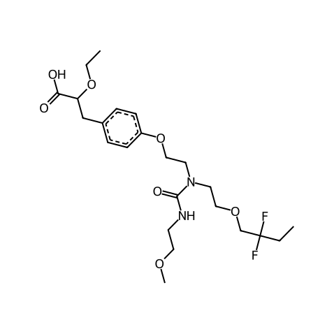 CCOC(Cc1ccc(OCCN(CCOCC(F)(F)CC)C(=O)NCCOC)cc1)C(=O)O